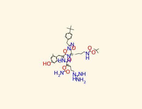 Cc1cc(O)cc(C)c1C[C@H](NC(=O)[C@@H](CCCNC(=N)N)OC(N)=O)C(=O)N[C@@H](CCCCNC(=O)OC(C)(C)C)c1nc(Cc2ccc(C(C)(C)C)cc2)no1